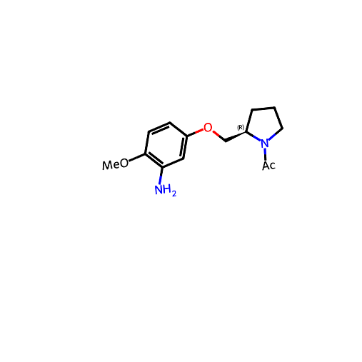 COc1ccc(OC[C@H]2CCCN2C(C)=O)cc1N